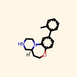 Cc1ccccc1-c1ccc2c(c1)N1CCNC[C@@H]1CCO2